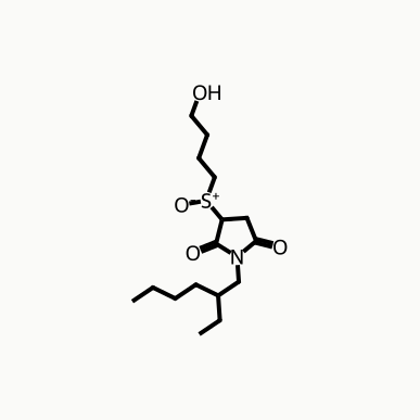 CCCCC(CC)CN1C(=O)CC([S+]([O-])CCCCO)C1=O